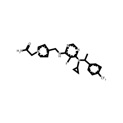 CC(c1ccc(C(F)(F)F)cc1)N(c1ncnc(NCc2cc[n+](CC(N)=O)cc2)c1F)C1CC1